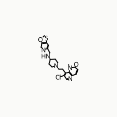 Cn1c(=O)ccc2ncc(Cl)c(CCN3CCC(NCc4cc5c(cn4)OCS5)CC3)c21